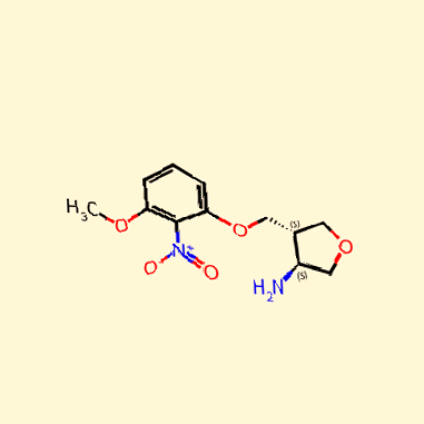 COc1cccc(OC[C@@H]2COC[C@H]2N)c1[N+](=O)[O-]